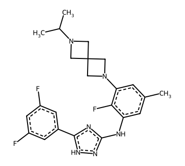 Cc1cc(Nc2n[nH]c(-c3cc(F)cc(F)c3)n2)c(F)c(N2CC3(C2)CN(C(C)C)C3)c1